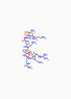 C[C@H](NC(=O)[C@@H](NC(=O)[C@@H](N)CCCCN)[C@@H](O)CN)C(=O)NCC(=O)N[C@H](CCCN)C(=O)N1CCC[C@H]1C(=O)N[C@@H](CCCNC(N)=O)C(=O)N[C@@H](CCCCN)C(=O)N/C(=C\CCNC(=N)N)C(=O)O